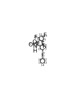 O=C1N[C@H](c2cncc(C#Cc3ccccc3)c2)[C@@H](c2c(F)cc(F)cc2F)O1